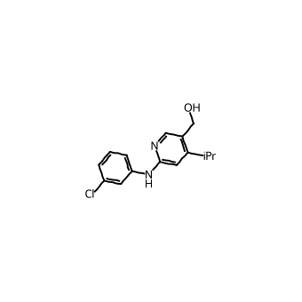 CC(C)c1cc(Nc2cccc(Cl)c2)ncc1CO